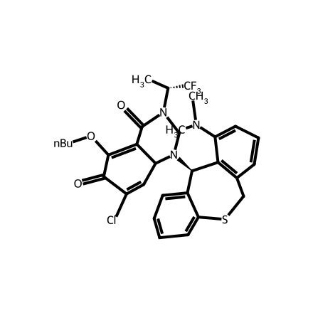 CCCCOC1=C2C(=O)N([C@H](C)C(F)(F)F)CN([C@@H]3c4ccccc4SCc4cccc(N(C)C)c43)C2C=C(Cl)C1=O